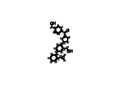 O=C(c1ccc(CO)nn1)N1CCC(c2ccc(-c3ccccc3C3CC3)cc2CO)C1